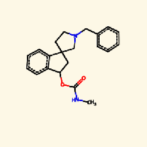 CNC(=O)OC1CC2(CCN(Cc3ccccc3)C2)c2ccccc21